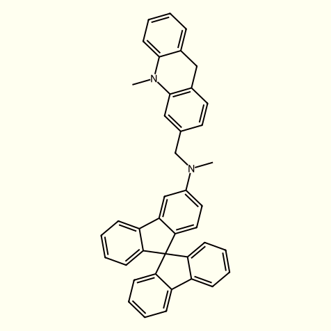 CN(Cc1ccc2c(c1)N(C)c1ccccc1C2)c1ccc2c(c1)-c1ccccc1C21c2ccccc2-c2ccccc21